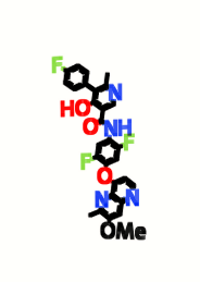 COc1cc2nccc(Oc3cc(F)c(NC(=O)c4cnc(C)c(-c5ccc(F)cc5)c4O)cc3F)c2nc1C